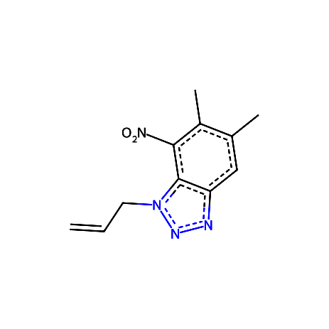 C=CCn1nnc2cc(C)c(C)c([N+](=O)[O-])c21